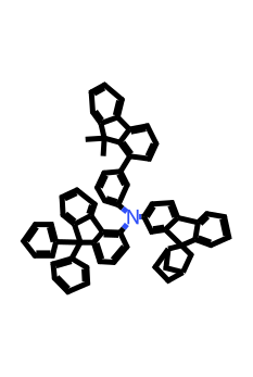 CC1(C)c2ccccc2-c2cccc(-c3cccc(N(c4ccc5c(c4)C4(CC6CCC4C6)c4ccccc4-5)c4cccc5c4-c4ccccc4C5(c4ccccc4)c4ccccc4)c3)c21